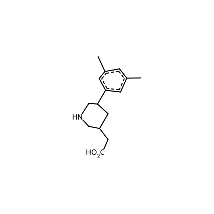 Cc1cc(C)cc(C2CNCC(CC(=O)O)C2)c1